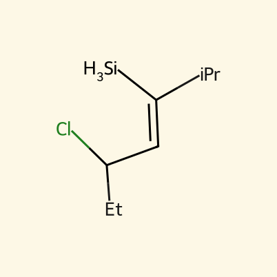 CCC(Cl)C=C([SiH3])C(C)C